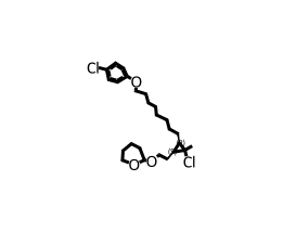 CC1(Cl)[C@H](CCCCCCCCOc2ccc(Cl)cc2)[C@@H]1CCOC1CCCCO1